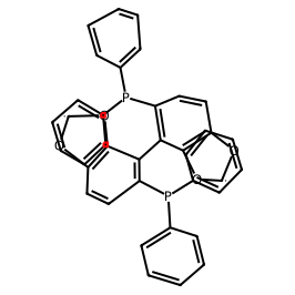 [CH]1Oc2ccc(P(c3ccccc3)c3ccccc3)c(-c3c(P(c4ccccc4)c4ccccc4)ccc4c3O[CH]O4)c2O1